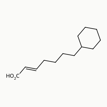 O=C(O)/C=C/CCCCC1CCCCC1